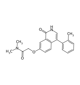 Cc1ccccc1-c1c[nH]c(=O)c2cc(OCC(=O)N(C)C)ccc12